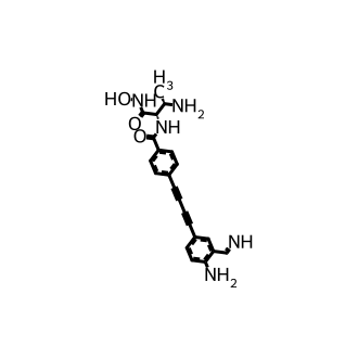 C[C@@H](N)[C@H](NC(=O)c1ccc(C#CC#Cc2ccc(N)c(C=N)c2)cc1)C(=O)NO